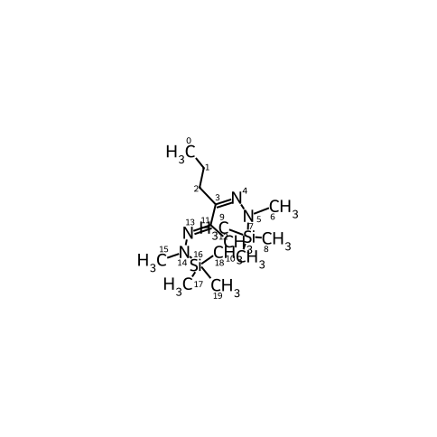 CCCC(=NN(C)[Si](C)(C)C)C(C)=NN(C)[Si](C)(C)C